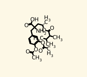 CC(=O)Oc1ccc(CC(N)(C[C@H](C)OC(=O)C(C)C(C)C)C(=O)O)cc1OC(C)=O